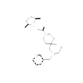 O=C(ON1C(=O)CCC1=O)N1CCC2(CC1)CN(Cc1cnccn1)CCO2